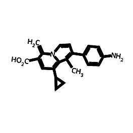 C=C1C(C(=O)O)=CC(C2CC2)=C2C(C)=C(c3ccc(N)cc3)C=CN12